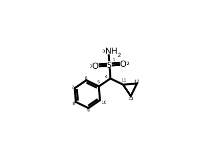 NS(=O)(=O)C(c1ccccc1)C1CC1